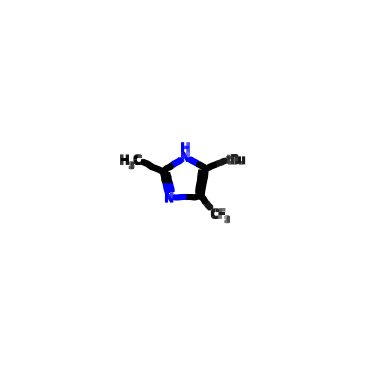 Cc1nc(C(F)(F)F)c(C(C)(C)C)[nH]1